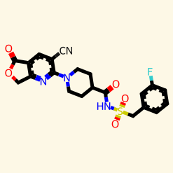 N#Cc1cc2c(nc1N1CCC(C(=O)NS(=O)(=O)Cc3cccc(F)c3)CC1)COC2=O